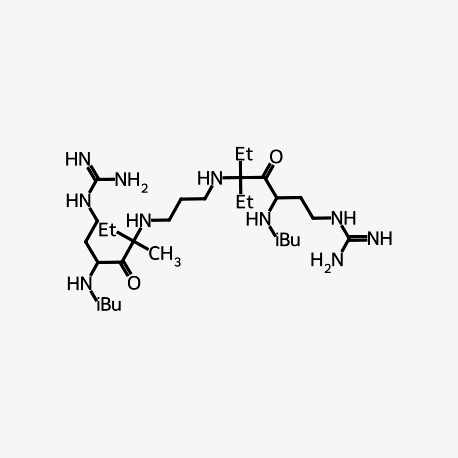 CCC(C)NC(CCNC(=N)N)C(=O)C(C)(CC)NCCCNC(CC)(CC)C(=O)C(CCNC(=N)N)NC(C)CC